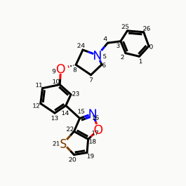 c1ccc(CN2CC[C@H](Oc3cccc(-c4noc5ccsc45)c3)C2)cc1